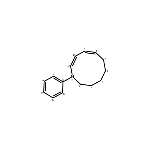 C1=CCCCCCN(c2ccccc2)C=C1